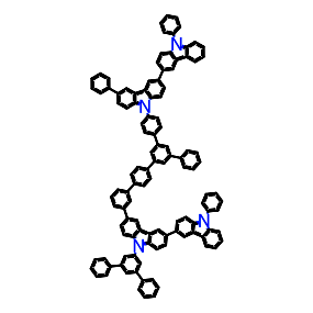 c1ccc(-c2cc(-c3ccc(-c4cccc(-c5ccc6c(c5)c5cc(-c7ccc8c(c7)c7ccccc7n8-c7ccccc7)ccc5n6-c5cc(-c6ccccc6)cc(-c6ccccc6)c5)c4)cc3)cc(-c3ccc(-n4c5ccc(-c6ccccc6)cc5c5cc(-c6ccc7c(c6)c6ccccc6n7-c6ccccc6)ccc54)cc3)c2)cc1